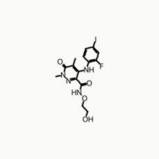 Cc1c(Nc2ccc(I)cc2F)c(C(=O)NOCCO)nn(C)c1=O